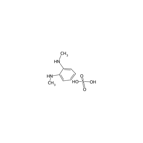 CNc1ccccc1NC.O=S(=O)(O)O